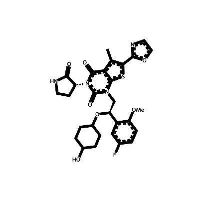 COc1ccc(F)cc1[C@H](Cn1c(=O)n([C@@H]2CCNC2=O)c(=O)c2c(C)c(-c3ncco3)sc21)OC1CCC(O)CC1